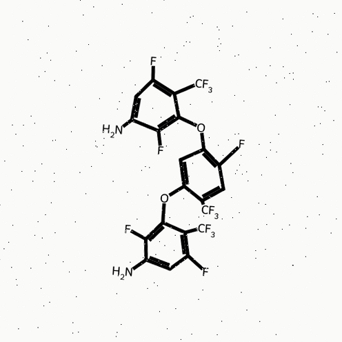 Nc1cc(F)c(C(F)(F)F)c(Oc2cc(Oc3c(F)c(N)cc(F)c3C(F)(F)F)c(C(F)(F)F)cc2F)c1F